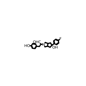 O=CC(Cc1ccc(O)cc1)N1CC2CC(O)(c3ccc(F)cc3)CC2C1